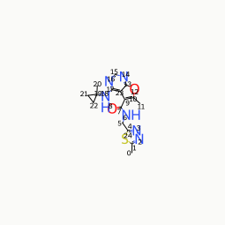 Cc1nnc(CNC(=O)c2c(C)oc3ncnc(NC4(C)CC4)c23)s1